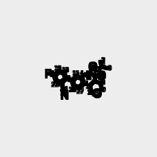 CC(C)S(=O)(=O)N[C@H]1CCOC[C@H]1c1ccc(-c2ccc(F)cc2C#N)cc1